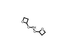 C1CC(OPOC2CCO2)O1